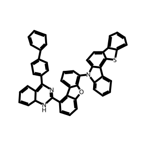 C1=CC2=C(c3ccc(-c4ccccc4)cc3)N=C(c3cccc4oc5c(-n6c7ccccc7c7c8sc9ccccc9c8ccc76)cccc5c34)NC2C=C1